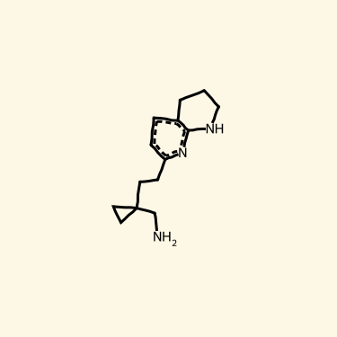 NCC1(CCc2ccc3c(n2)NCCC3)CC1